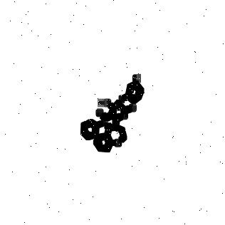 O=c1oc2c3c(n(-c4ccccc4)c(=O)c2c(O)c1Sc1cccc(Cl)c1)-c1ccccc1OCC3